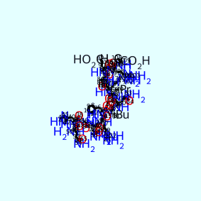 CC[C@H](C)[C@H](NC(=O)[C@H](Cc1ccccc1)NC(=O)[C@H](CCCNC(=N)N)NC(=O)[C@H](CC(N)=O)NC(=O)CNC(=O)[C@H](Cc1c[nH]cn1)NC(=O)[C@@H](N)CCC(N)=O)C(=O)N[C@@H](CCC(N)=O)C(=O)N[C@@H](CC(C)C)C(=O)N[C@@H](CCCCN)C(=O)N[C@@H](CC(C)C)C(=O)N[C@@H](CCC(=O)O)C(=O)N[C@@H](CCCNC(=N)N)C(=O)N[C@@H](C)C(=O)O